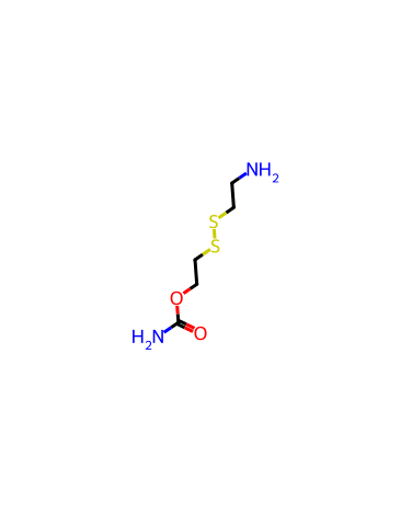 NCCSSCCOC(N)=O